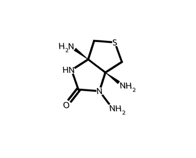 NN1C(=O)N[C@]2(N)CSC[C@]12N